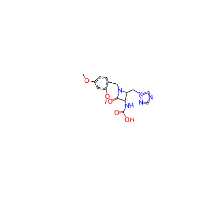 COc1ccc(CN2C(=O)C(NC(=O)O)C2Cn2cncn2)c(OC)c1